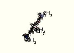 Cc1cccc(-n2c3ccccc3c3cc(-c4ccc(-c5ccc(-c6c7ccccc7c(-c7ccc(-c8ccc(-c9ccc%10c(c9)c9ccccc9n%10-c9cccc(C)c9)cc8)cc7)c7cc(C(C)(C)C)ccc67)cc5)cc4)ccc32)c1